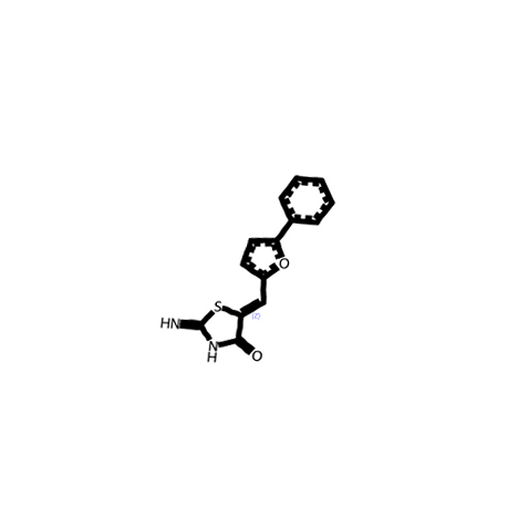 N=C1NC(=O)/C(=C/c2ccc(-c3ccccc3)o2)S1